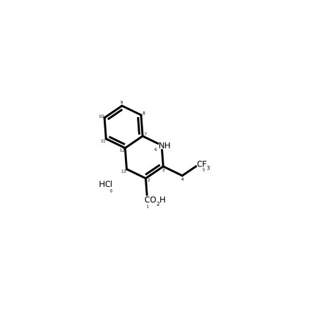 Cl.O=C(O)C1=C(CC(F)(F)F)Nc2ccccc2C1